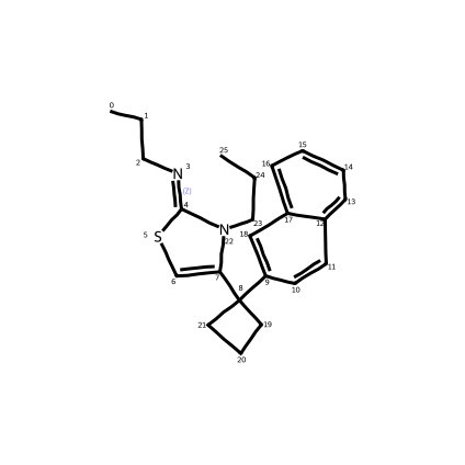 CCC/N=c1\scc(C2(c3ccc4ccccc4c3)CCC2)n1CCC